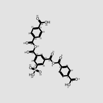 O=C(O)c1ccc(C(=O)OC(=O)c2cc(C(=O)OC(=O)c3ccc(C(=O)O)cc3)cc(S(=O)(=O)O)c2)cc1